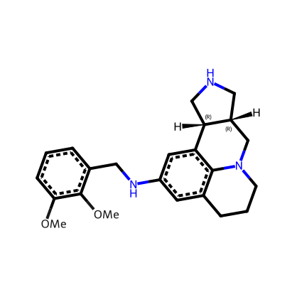 COc1cccc(CNc2cc3c4c(c2)[C@@H]2CNC[C@@H]2CN4CCC3)c1OC